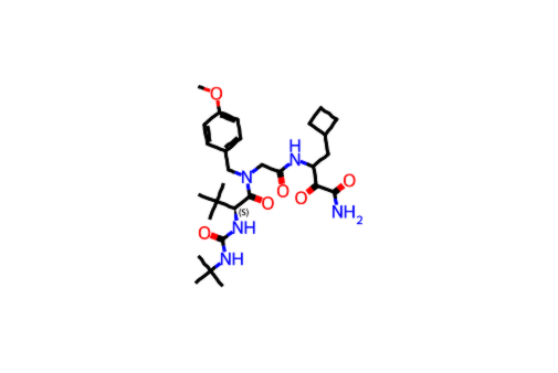 COc1ccc(CN(CC(=O)NC(CC2CCC2)C(=O)C(N)=O)C(=O)[C@@H](NC(=O)NC(C)(C)C)C(C)(C)C)cc1